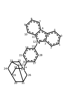 c1ccc2c(c1)c1ccccc1n2-c1ccc([N+]23CC4CC(CC(C4)C2)C3)cc1